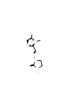 Cn1c([N+](=O)[O-])cnc1/C=N/N1CCNC1=O